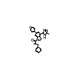 Cc1nnc(-c2cc(-c3ccncc3)cc3c2CCN3C(=O)[C@@H](C)Cc2ccccc2)[nH]1